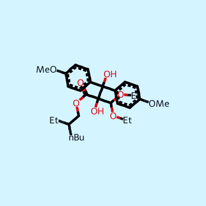 CCCCC(CC)COC(=O)C(O)(C(OCC)OCC)C(O)(c1ccc(OC)cc1)c1ccc(OC)cc1